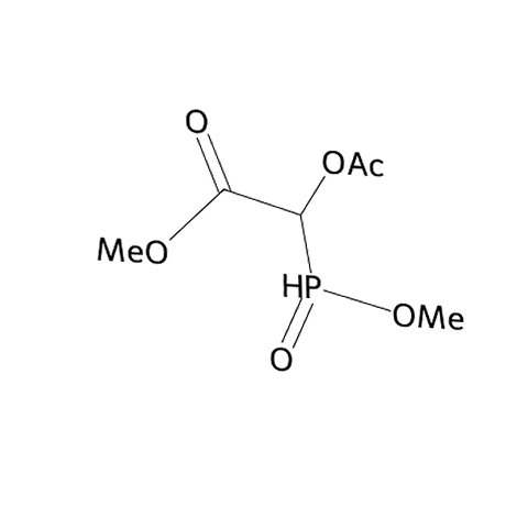 COC(=O)C(OC(C)=O)[PH](=O)OC